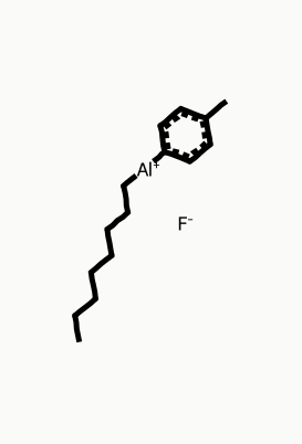 CCCCCCC[CH2][Al+][c]1ccc(C)cc1.[F-]